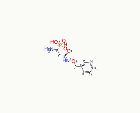 NC(CC(=O)NOCc1ccccc1)P(=O)(O)O